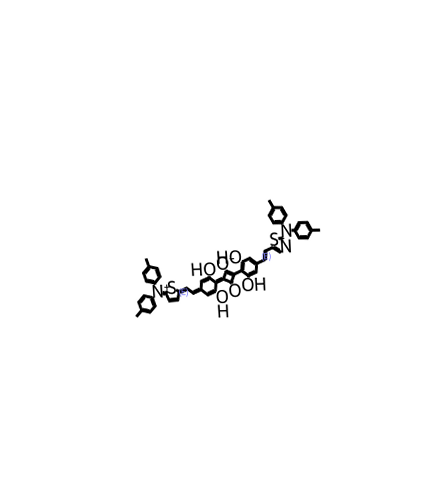 Cc1ccc(N(c2ccc(C)cc2)c2ncc(/C=C/c3cc(O)c(C4=C([O-])C(=c5c(O)cc(=C/C=C6\C=CC(=[N+](c7ccc(C)cc7)c7ccc(C)cc7)S6)cc5O)C4=O)c(O)c3)s2)cc1